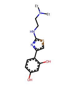 CCN(CC)CCNc1nc(-c2ccc(O)cc2O)cs1